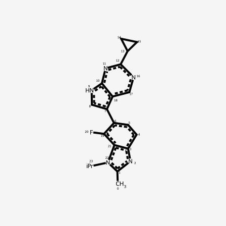 Cc1nc2ccc(-c3c[nH]c4nc(C5CC5)ncc34)c(F)c2n1C(C)C